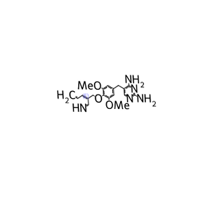 C=C/C=C(\C=N)COc1c(OC)cc(Cc2cnc(N)nc2N)cc1OC